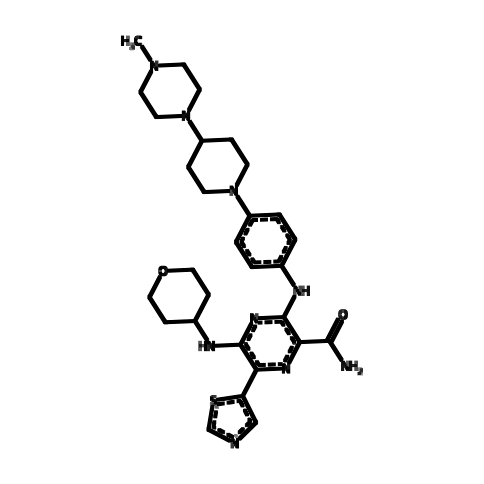 CN1CCN(C2CCN(c3ccc(Nc4nc(NC5CCOCC5)c(-c5cncs5)nc4C(N)=O)cc3)CC2)CC1